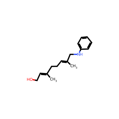 C/C(=C\CO)CC/C=C(\C)CNc1ccccc1